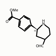 COC(=O)c1ccc([C@@H]2CC(C=O)CCN2)cc1